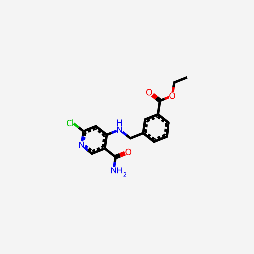 CCOC(=O)c1cccc(CNc2cc(Cl)ncc2C(N)=O)c1